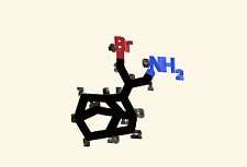 NCC(CBr)C1C2CC3CC(C2)CC1C3